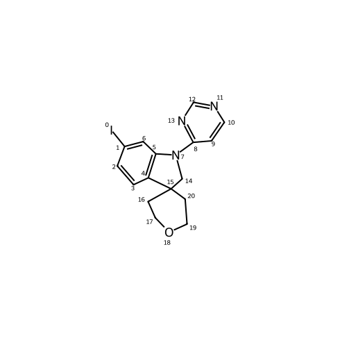 Ic1ccc2c(c1)N(c1ccncn1)CC21CCOCC1